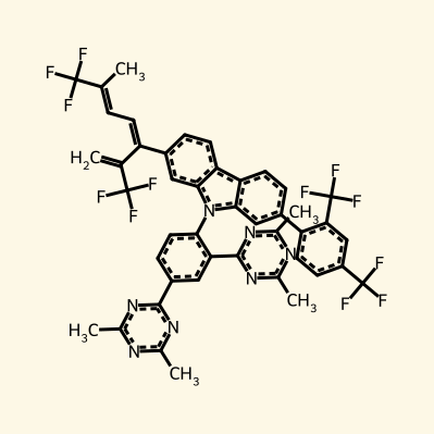 C=C(/C(=C\C=C(/C)C(F)(F)F)c1ccc2c3ccc(-c4ccc(C(F)(F)F)cc4C(F)(F)F)cc3n(-c3ccc(-c4nc(C)nc(C)n4)cc3-c3nc(C)nc(C)n3)c2c1)C(F)(F)F